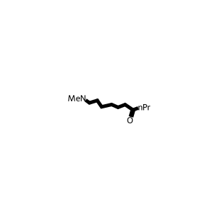 CCCC(=O)CCCCCCNC